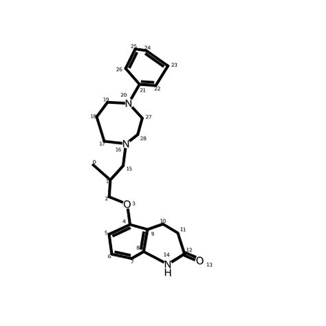 CC(COc1cccc2c1CCC(=O)N2)CN1CCCN(c2ccccc2)CC1